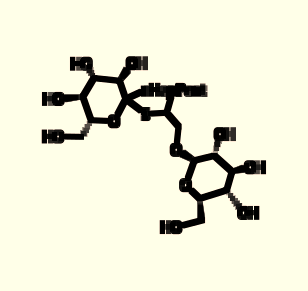 CCCCCCCC1(SC(CCCCC)CO[C@@H]2O[C@H](CO)[C@@H](O)[C@H](O)[C@H]2O)O[C@H](CO)[C@@H](O)[C@H](O)[C@H]1O